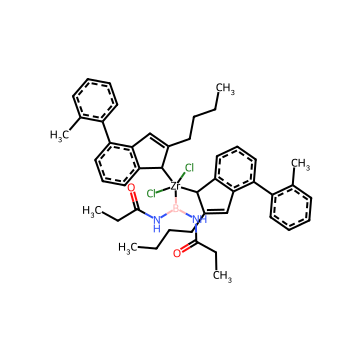 CCCCC1=Cc2c(-c3ccccc3C)cccc2[CH]1[Zr]([Cl])([Cl])([B](NC(=O)CC)NC(=O)CC)[CH]1C(CCCC)=Cc2c(-c3ccccc3C)cccc21